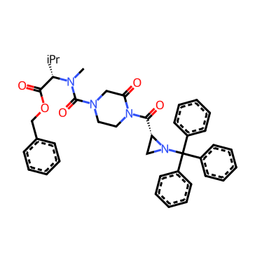 CC(C)[C@@H](C(=O)OCc1ccccc1)N(C)C(=O)N1CCN(C(=O)[C@H]2CN2C(c2ccccc2)(c2ccccc2)c2ccccc2)C(=O)C1